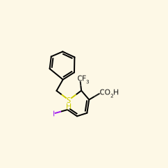 O=C(O)C1=CC=C(I)[SH](Cc2ccccc2)C1C(F)(F)F